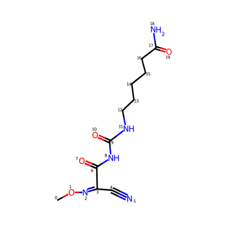 CON=C(C#N)C(=O)NC(=O)NCCCCCC(N)=O